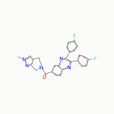 Cn1cc2c(n1)CN(C(=O)c1ccc3nc(-c4ccc(F)cc4)c(-c4ccc(F)cc4)nc3c1)CC2